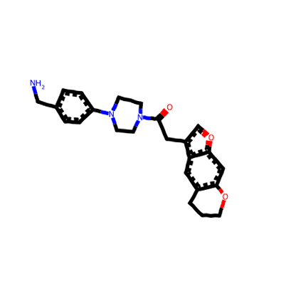 NCc1ccc(N2CCN(C(=O)Cc3coc4cc5c(cc34)CCCO5)CC2)cc1